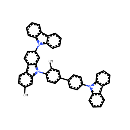 N#Cc1ccc2c3ccc(-n4c5ccccc5c5ccccc54)cc3n(-c3ccc(-c4ccc(-n5c6ccccc6c6ccccc65)cc4)cc3C#N)c2c1